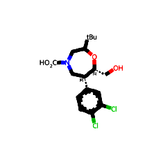 CC(C)(C)C1CN(C(=O)O)C[C@@H](c2ccc(Cl)c(Cl)c2)[C@@H](CO)O1